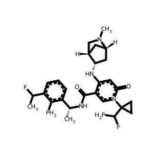 CC(F)c1cccc([C@@H](C)NC(=O)c2cn(C3(C(F)P)CC3)c(=O)cc2N[C@H]2C[C@@H]3C[C@H]2CN3C)c1P